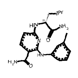 Cc1cccc(Nc2nc(N[C@H](CC(C)C)C(N)=O)ccc2C(N)=O)c1